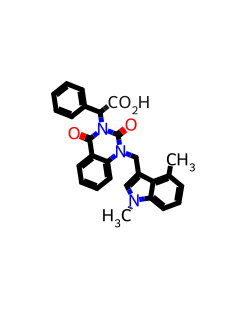 Cc1cccc2c1c(Cn1c(=O)n(C(C(=O)O)c3ccccc3)c(=O)c3ccccc31)cn2C